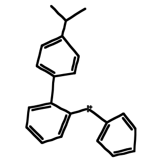 CC(C)c1ccc(-c2ccccc2[I+]c2ccccc2)cc1